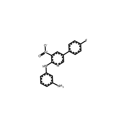 Nc1cccc(Nc2ncc(-c3ccc(F)cc3)cc2[N+](=O)[O-])c1